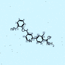 CCCc1ccccc1OCc1ccnc(-c2ccc(C(N)=O)c(C)c2)c1